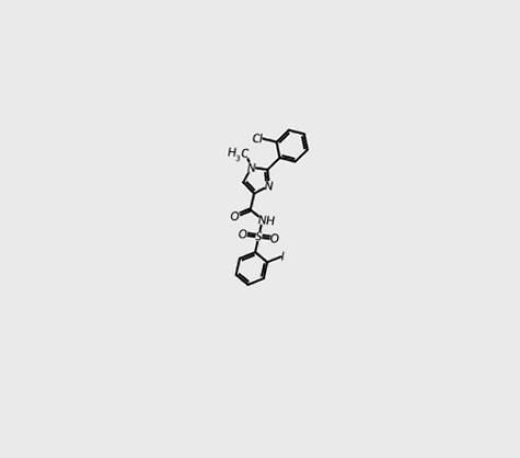 Cn1cc(C(=O)NS(=O)(=O)c2ccccc2I)nc1-c1ccccc1Cl